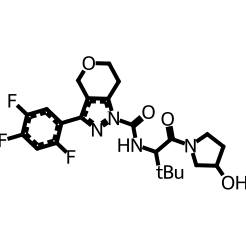 CC(C)(C)C(NC(=O)n1nc(-c2cc(F)c(F)cc2F)c2c1CCOC2)C(=O)N1CCC(O)C1